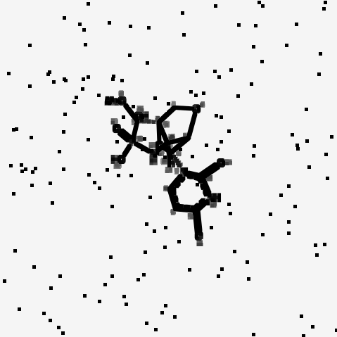 COC[C@@]12COC([C@H](n3ccc(=O)[nH]c3=O)O1)[C@@H]2NP(=O)(O)O